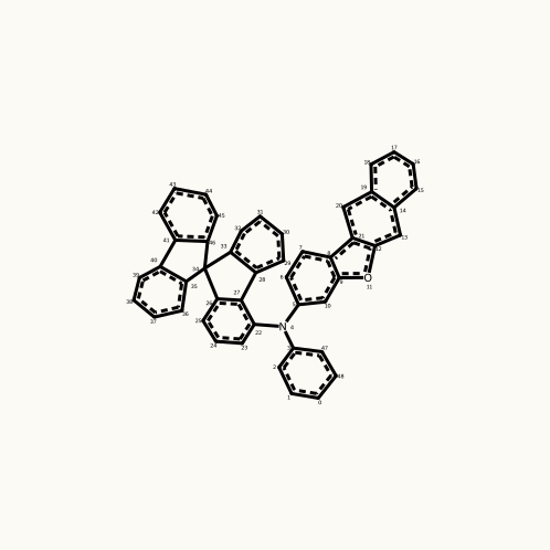 c1ccc(N(c2ccc3c(c2)oc2cc4ccccc4cc23)c2cccc3c2-c2ccccc2C32c3ccccc3-c3ccccc32)cc1